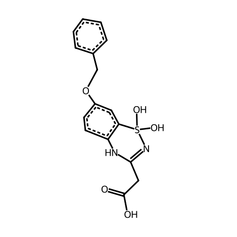 O=C(O)CC1=NS(O)(O)c2cc(OCc3ccccc3)ccc2N1